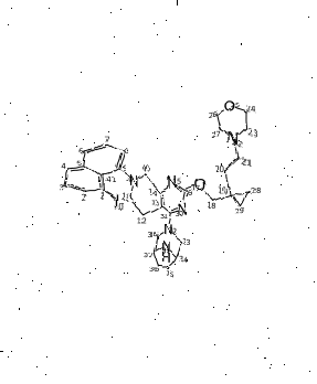 Ic1cccc2cccc(N3CCc4c(nc(OCC5(CCN6CCOCC6)CC5)nc4N4CC5CCC(C4)N5)C3)c12